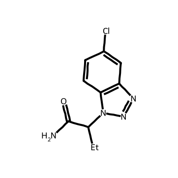 CCC(C(N)=O)n1nnc2cc(Cl)ccc21